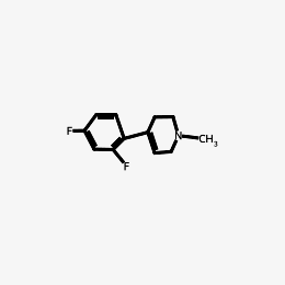 CN1CC=C(c2ccc(F)cc2F)CC1